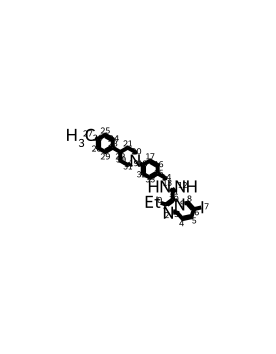 CCc1nc2ccc(I)cn2c1C(=N)NCc1ccc(N2CCC(c3ccc(C)cc3)CC2)cc1